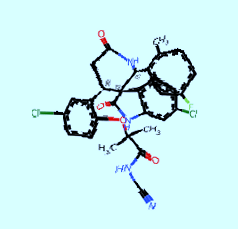 Cc1ccc(F)cc1[C@@H]1NC(=O)C[C@H](c2cc(Cl)ccc2OC(C)(C)C(=O)NC#N)[C@@]12C(=O)Nc1cc(Cl)ccc12